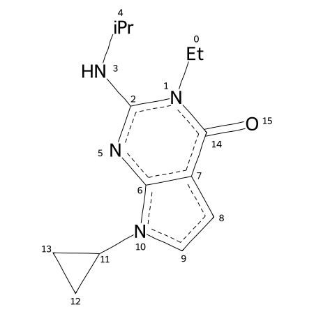 CCn1c(NC(C)C)nc2c(ccn2C2CC2)c1=O